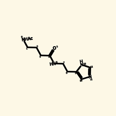 CC(=O)NCCCC(=O)NCCc1cnc[nH]1